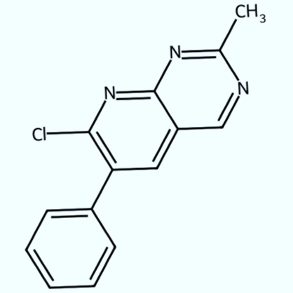 Cc1ncc2cc(-c3ccccc3)c(Cl)nc2n1